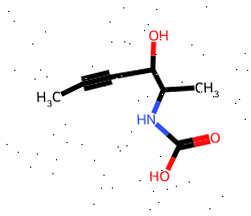 CC#CC(O)C(C)NC(=O)O